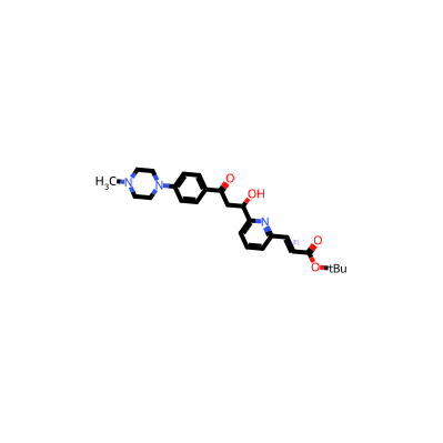 CN1CCN(c2ccc(C(=O)CC(O)c3cccc(/C=C/C(=O)OC(C)(C)C)n3)cc2)CC1